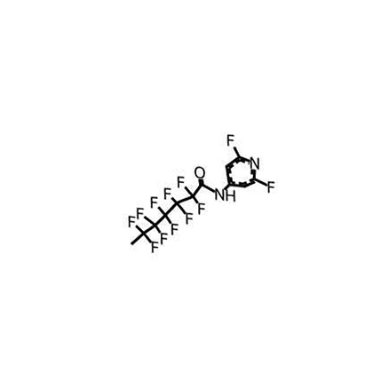 CC(F)(F)C(F)(F)C(F)(F)C(F)(F)C(F)(F)C(=O)Nc1cc(F)nc(F)c1